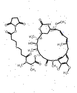 COc1cc2cc(c1Cl)N(C)C(=O)C[C@H](OC(=O)[C@H](C)N(C)C(=O)CCSCCC(=O)ON1C(=O)CCC1=O)[C@@H](C)[C@@H](O)[C@H](C)[C@@H]1C[C@@](O)(NC(=O)O1)[C@H](OC)/C=C/C=C(\C)C2